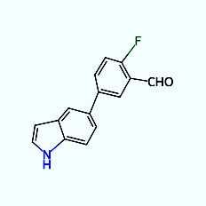 O=Cc1cc(-c2ccc3[nH]ccc3c2)ccc1F